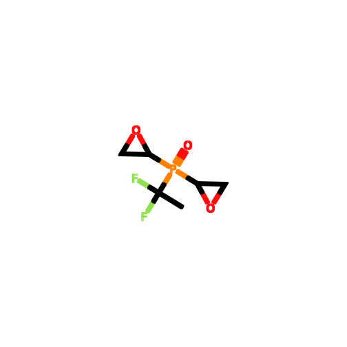 CC(F)(F)P(=O)(C1CO1)C1CO1